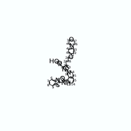 O=C(Nc1nc2ccccc2s1)c1cccc2c1CN(c1nc(COO)c(CCCOc3ccc(N4CCOCC4)cc3)s1)CC2